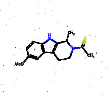 COc1ccc2[nH]c3c(c2c1)CCN(C(C)=S)C3C